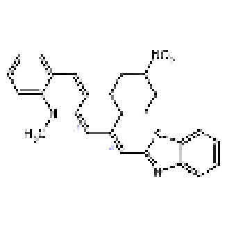 CN1/C(=C/C(=C/c2nc3ccccc3s2)C2CCC([N+](=O)[O-])CC2)C=Cc2ccccc21